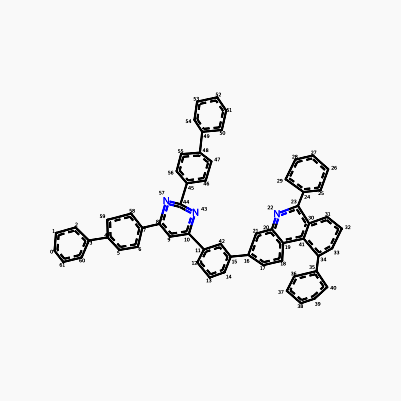 c1ccc(-c2ccc(-c3cc(-c4cccc(-c5ccc6c(c5)nc(-c5ccccc5)c5cccc(-c7ccccc7)c56)c4)nc(-c4ccc(-c5ccccc5)cc4)n3)cc2)cc1